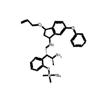 C=CCOC1CC(NC[C@@H](c2ccccc2O[Si](C)(C)C(C)(C)C)[C@H](C)N)c2cc(Oc3ccccc3)ccc21